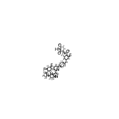 O=C1CCC(N2Cc3cc(CN4CCN(c5cccc(-c6cnn7ccc(N8CCC[C@@H]8c8ccc(F)cc8F)nc67)n5)CC4)cc(F)c3C2=O)C(=O)N1